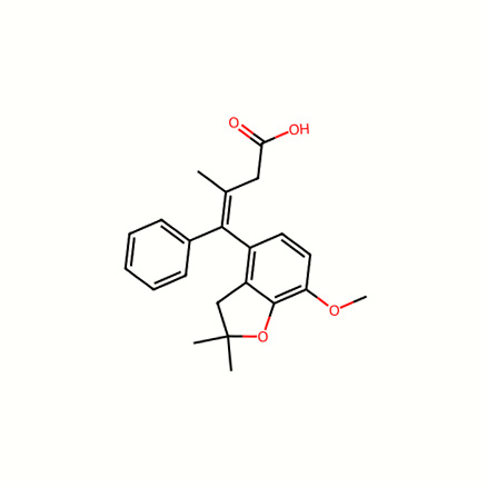 COc1ccc(/C(=C(/C)CC(=O)O)c2ccccc2)c2c1OC(C)(C)C2